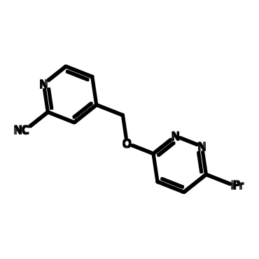 CC(C)c1ccc(OCc2ccnc(C#N)c2)nn1